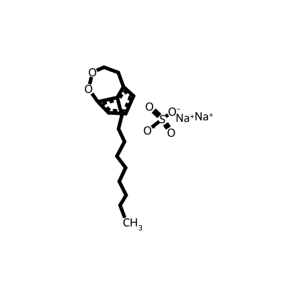 CCCCCCCCCc1c2cccc1OOCC2.O=S(=O)([O-])[O-].[Na+].[Na+]